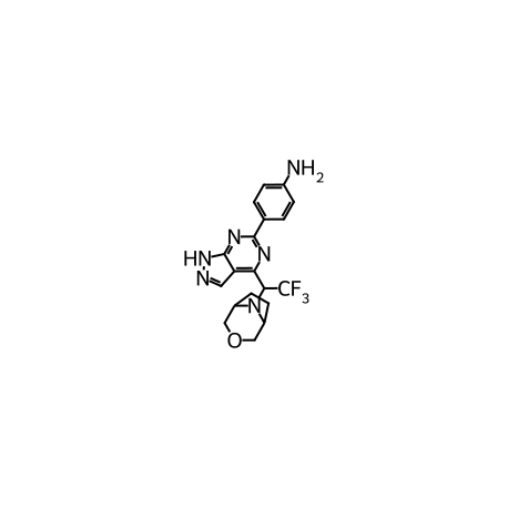 Nc1ccc(-c2nc(C(N3C4CCC3COC4)C(F)(F)F)c3cn[nH]c3n2)cc1